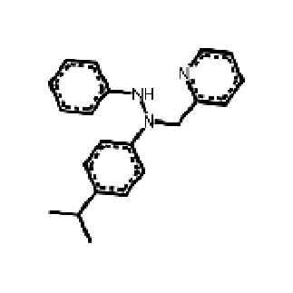 CC(C)c1ccc(N(Cc2ccccn2)Nc2ccccc2)cc1